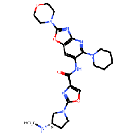 O=C(O)N[C@H]1CCN(c2nc(C(=O)Nc3cc4oc(N5CCOCC5)nc4nc3N3CCCCC3)co2)C1